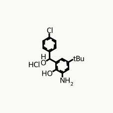 CC(C)(C)c1cc(N)c(O)c(C(O)c2ccc(Cl)cc2)c1.Cl